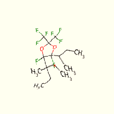 CCC(C)C1(F)OC(C(F)(F)F)(C(F)(F)F)OC1(F)C(C)(CC)CC